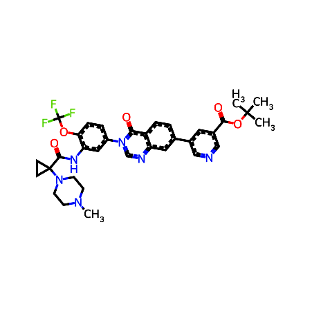 CN1CCN(C2(C(=O)Nc3cc(-n4cnc5cc(-c6cncc(C(=O)OC(C)(C)C)c6)ccc5c4=O)ccc3OC(F)(F)F)CC2)CC1